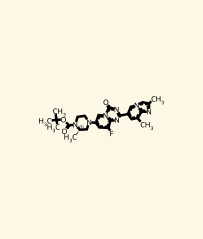 Cc1cn2cc(-c3nc(=O)n4cc(N5CCN(C(=O)OC(C)(C)C)[C@@H](C)C5)cc(F)c4n3)cc(C)c2n1